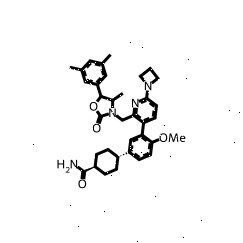 COc1ccc([C@H]2CC[C@H](C(N)=O)CC2)cc1-c1ccc(N2CCC2)nc1CN1C(=O)OC(c2cc(C)cc(C)c2)C1C